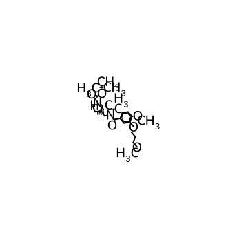 COCCCOc1cc(C(=O)N(C[C@H]2CCN(C(=O)OC(C)(C)C)C2)C(C)C)ccc1OC